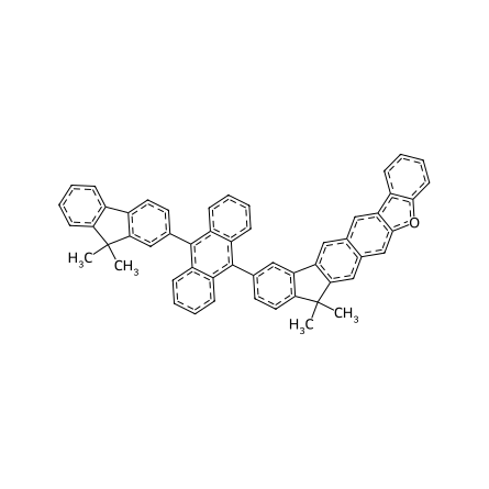 CC1(C)c2ccccc2-c2ccc(-c3c4ccccc4c(-c4ccc5c(c4)-c4cc6cc7c(cc6cc4C5(C)C)oc4ccccc47)c4ccccc34)cc21